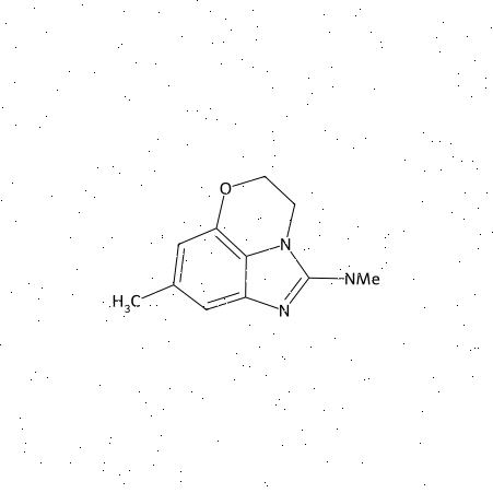 CNc1nc2cc(C)cc3c2n1CCO3